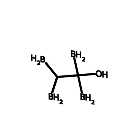 BC(B)C(B)(B)O